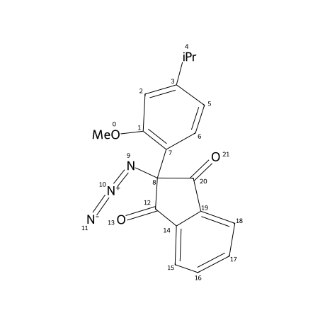 COc1cc(C(C)C)ccc1C1(N=[N+]=[N-])C(=O)c2ccccc2C1=O